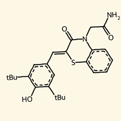 CC(C)(C)c1cc(/C=C2\Sc3ccccc3N(CC(N)=O)C2=O)cc(C(C)(C)C)c1O